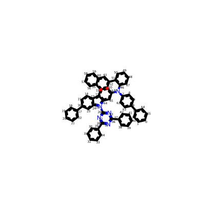 c1ccc(-c2ccc(N(c3ccc4c5ccc(-c6ccccc6)cc5n(-c5nc(-c6ccccc6)nc(-c6ccccc6)n5)c4c3)c3ccccc3-c3ccc4ccccc4c3)cc2)cc1